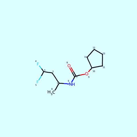 CC(CC(F)F)NC(=O)OC1CCCC1